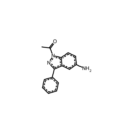 CC(=O)n1nc(-c2ccccc2)c2cc(N)ccc21